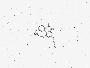 C=C(C)[C@H]1CCC(CN)=CC1c1c(O)cc(CCCCC)cc1O